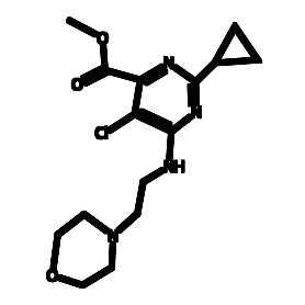 COC(=O)c1nc(C2CC2)nc(NCCN2CCOCC2)c1Cl